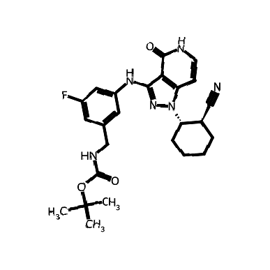 CC(C)(C)OC(=O)NCc1cc(F)cc(Nc2nn([C@H]3CCCC[C@@H]3C#N)c3cc[nH]c(=O)c23)c1